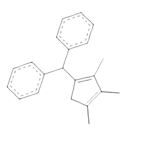 CC1=C(C)C(C)=C(C(c2ccccc2)c2ccccc2)C1